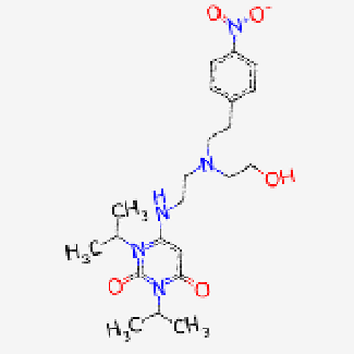 CC(C)n1c(NCCN(CCO)CCc2ccc([N+](=O)[O-])cc2)cc(=O)n(C(C)C)c1=O